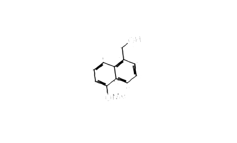 COc1cccc2c(CO)cccc12